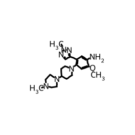 COc1cc(N2CCC(N3CCN(C)CC3)CC2)c(-c2cnn(C)n2)cc1N